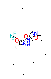 Cc1nnc([C@@](C)(CC2CC2)NC(=O)c2cc(OCC(F)(F)F)c(C3CC3)cn2)o1